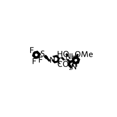 COc1ccc2nccc([C@H](CC[C@@H]3CCN(CC#CSc4cc(F)cc(F)c4F)C[C@@H]3C(=O)O)NO)c2c1